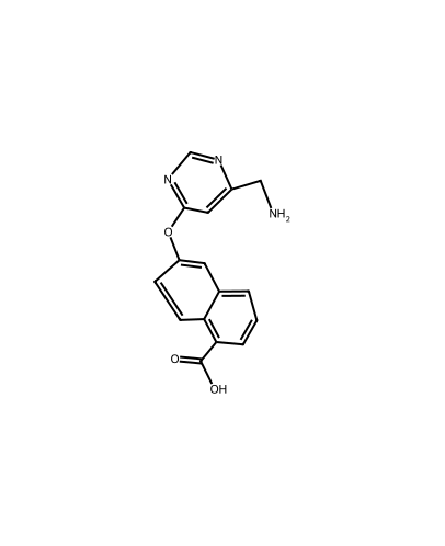 NCc1cc(Oc2ccc3c(C(=O)O)cccc3c2)ncn1